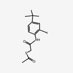 CC(=O)SCC(=O)Nc1ccc(C(C)(C)C)cc1I